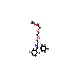 CC(C)(C)OC(=O)COCCOCCN=C(c1ccccc1)c1ccccc1